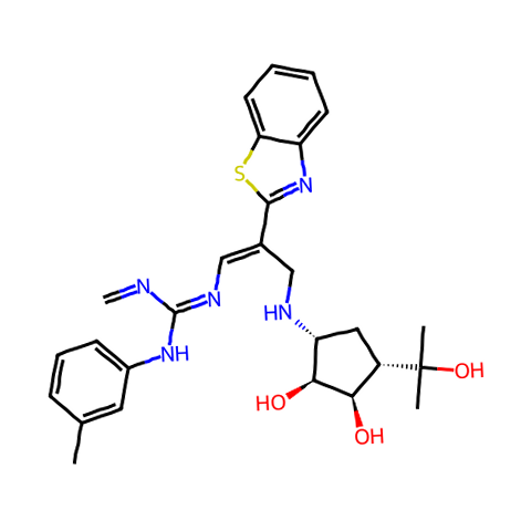 C=N/C(=N\C=C(/CN[C@@H]1C[C@H](C(C)(C)O)[C@@H](O)[C@H]1O)c1nc2ccccc2s1)Nc1cccc(C)c1